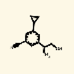 C[C](CO)c1cc(C#N)cc(C2CC2)c1